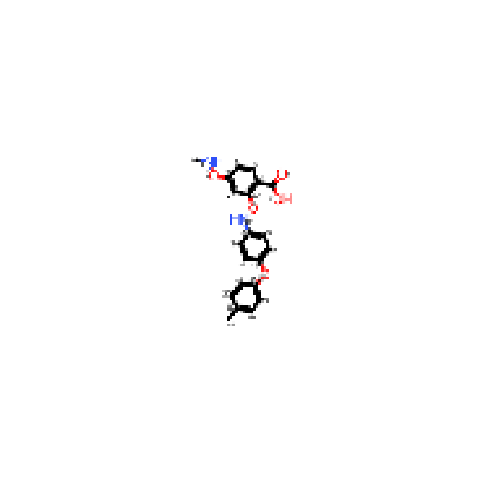 CNOc1ccc(C(=O)O)c(ONc2ccc(Oc3ccc(C)cc3)cc2)c1